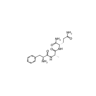 C[C@H](NC(=O)[C@@H](N)Cc1ccccc1)C(=O)N[C@@H](CCC(N)=O)C(N)=O